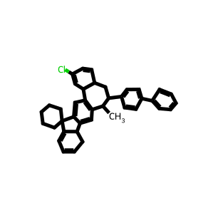 CC1c2cc3c(cc2C2C=C(Cl)C=CC2CC1c1ccc(-c2ccccc2)cc1)C1(CCCCC1)C1=CC=CCC13